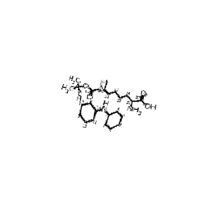 C1CCC(NC2CCCCC2)CC1.CC(C)(C)OC(=O)NCCCC[C@H](N)C(=O)O